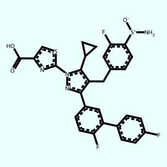 N[S+]([O-])c1ccc(Cc2c(-c3ccc(F)c(-c4ccc(F)cc4)c3)nn(-c3nc(C(=O)O)cs3)c2C2CC2)cc1F